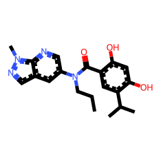 CCCN(C(=O)c1cc(C(C)C)c(O)cc1O)c1cnc2c(cnn2C)c1